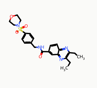 CCc1nc2ccc(C(=O)NCc3ccc(S(=O)(=O)N4CCOCC4)cc3)cc2nc1CC